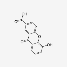 O=C(O)c1ccc2oc3c(O)cccc3c(=O)c2c1